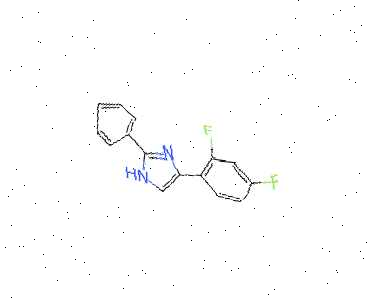 Fc1ccc(-c2c[nH]c(-c3ccccc3)n2)c(F)c1